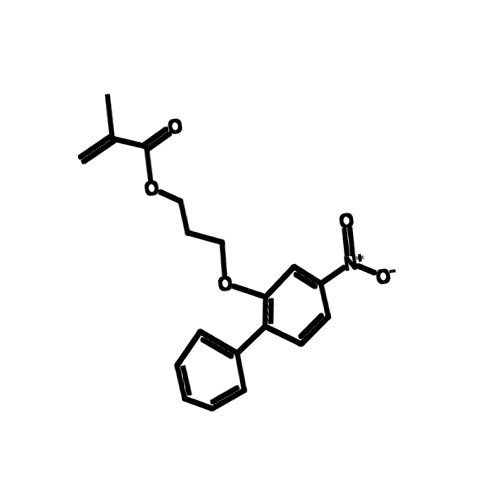 C=C(C)C(=O)OCCCOc1cc([N+](=O)[O-])ccc1-c1ccccc1